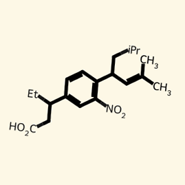 CCC(CC(=O)O)c1ccc(C(C=C(C)C)CC(C)C)c([N+](=O)[O-])c1